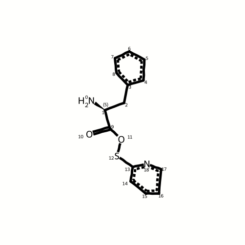 N[C@@H](Cc1ccccc1)C(=O)OSc1ccccn1